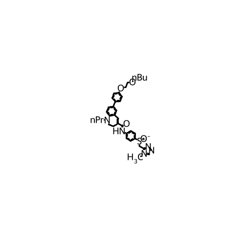 CCCCOCCOc1ccc(-c2ccc3c(c2)C=C(C(=O)Nc2ccc([S+]([O-])Cc4nncn4C)cc2)CCN3CCC)cc1